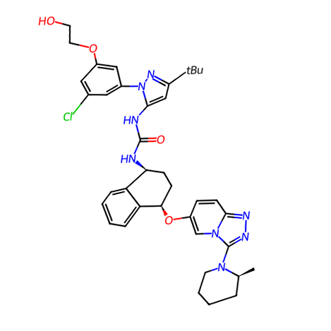 C[C@H]1CCCCN1c1nnc2ccc(O[C@@H]3CC[C@H](NC(=O)Nc4cc(C(C)(C)C)nn4-c4cc(Cl)cc(OCCO)c4)c4ccccc43)cn12